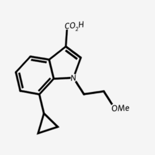 COCCn1cc(C(=O)O)c2cccc(C3CC3)c21